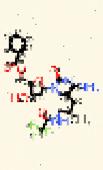 CC(CNC(=O)C(F)(F)F)Cc1cn([C@H]2C[C@H](O)[C@@H](COC(=O)c3ccccc3)O2)c(=O)nc1N